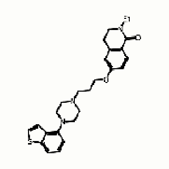 CCN1CCc2cc(OCCCN3CCN(c4cccc5sccc45)CC3)ccc2C1=O